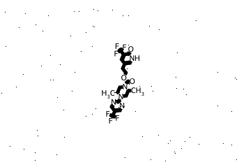 CC1CN(c2ncc(C(F)(F)F)cn2)[C@H](C)CN1C(=O)OCCc1c[nH]c(=O)c(C(F)(F)F)c1